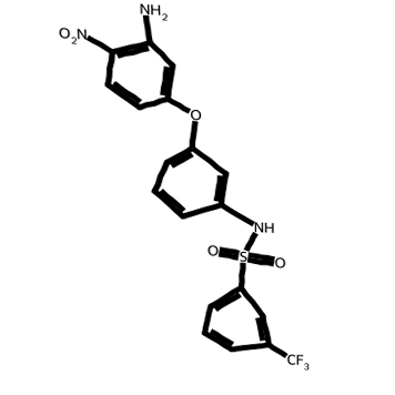 Nc1cc(Oc2cccc(NS(=O)(=O)c3cccc(C(F)(F)F)c3)c2)ccc1[N+](=O)[O-]